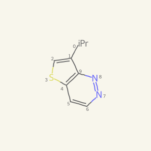 CC(C)c1csc2ccnnc12